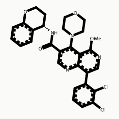 COc1ncc(-c2cccc(Cl)c2Cl)c2ncc(C(=O)N[C@H]3CCOc4ccccc43)c(N3CCOCC3)c12